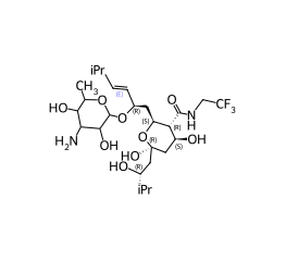 CC(C)/C=C/[C@@H](C[C@@H]1O[C@](O)(C[C@@H](O)C(C)C)C[C@H](O)[C@H]1C(=O)NCC(F)(F)F)OC1OC(C)C(O)C(N)C1O